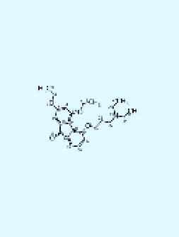 CCOc1cc(OCC)c2c(c1)C(=O)c1cccc(OCCCN(CC)CC)c1-2